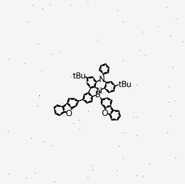 CC(C)(C)c1ccc2c(c1)N(c1ccccc1)c1cc(C(C)(C)C)cc3c1N2B(c1ccc2c(c1)oc1ccccc12)c1ccc(-c2ccc4c(c2)oc2ccccc24)cc1-3